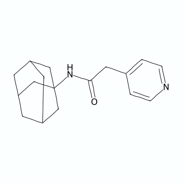 O=C(Cc1ccncc1)NC12CC3CC(CC(C3)C1)C2